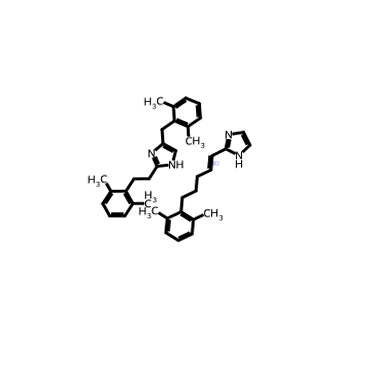 Cc1cccc(C)c1CCC/C=C/c1ncc[nH]1.Cc1cccc(C)c1CCc1nc(Cc2c(C)cccc2C)c[nH]1